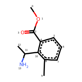 COC(=O)c1cccc(C)c1C(C)N